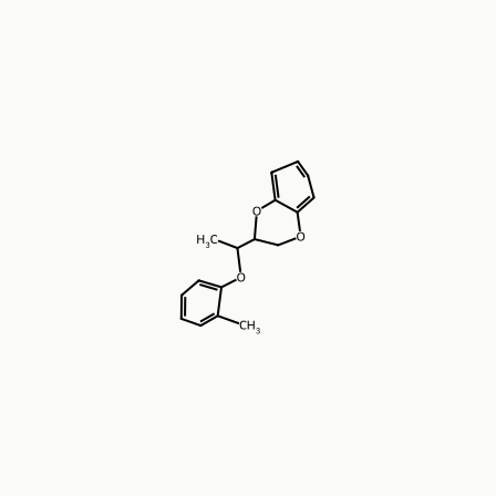 Cc1ccccc1OC(C)C1COc2ccccc2O1